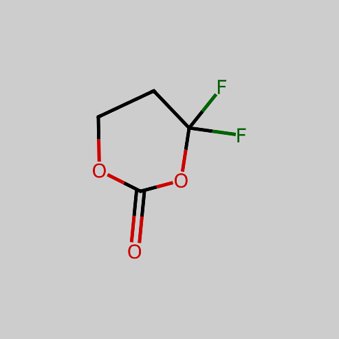 O=C1OCCC(F)(F)O1